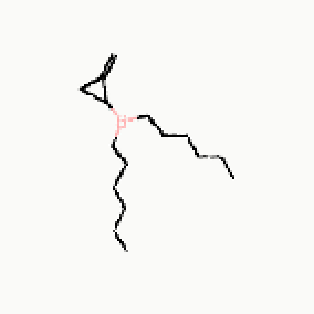 C=C1CC1B(CCCCCC)CCCCCC